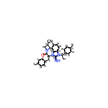 Cc1ccc(C[C@@H](C(=O)N2CC(C#N)C2)n2c(=N)n(C(C)c3ccc(C)cc3)c3ccccc32)cc1